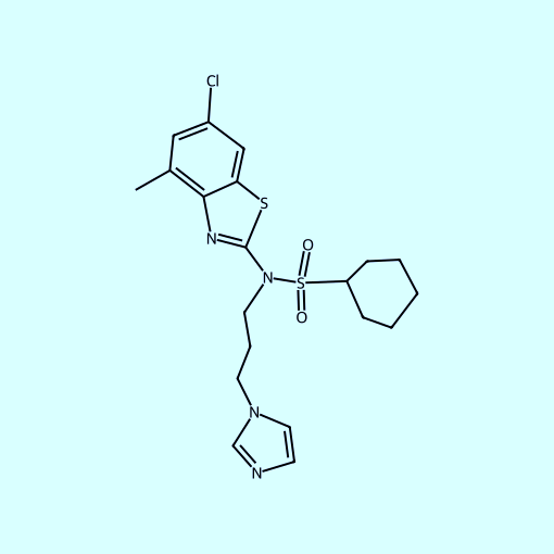 Cc1cc(Cl)cc2sc(N(CCCn3ccnc3)S(=O)(=O)C3CCCCC3)nc12